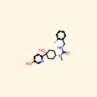 CN(C(=O)NCc1ccccc1F)[C@H]1CC[C@@](O)(c2ccc(O)cn2)CC1